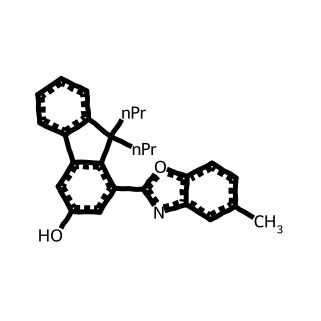 CCCC1(CCC)c2ccccc2-c2cc(O)cc(-c3nc4cc(C)ccc4o3)c21